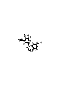 Cc1ccc(N2CCOc3ccc(O)cc32)cc1C#N